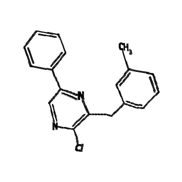 Cc1cccc(Cc2nc(-c3ccccc3)cnc2Cl)c1